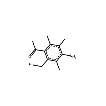 CC(=O)c1c(C)c(C)c(N)c(C)c1CO